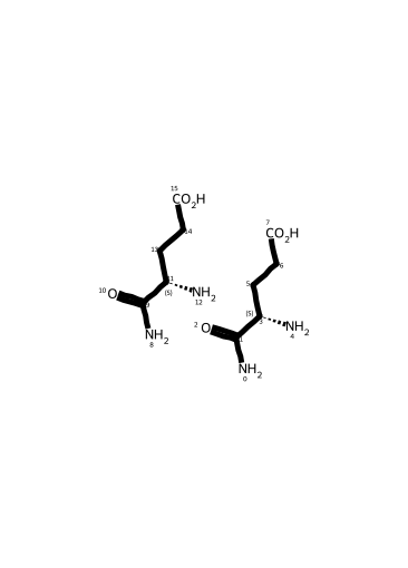 NC(=O)[C@@H](N)CCC(=O)O.NC(=O)[C@@H](N)CCC(=O)O